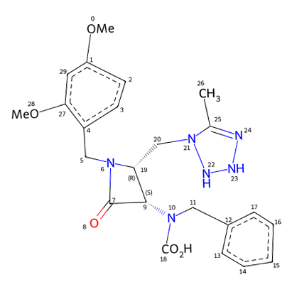 COc1ccc(CN2C(=O)[C@@H](N(Cc3ccccc3)C(=O)O)[C@H]2CN2NNN=C2C)c(OC)c1